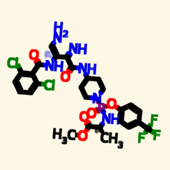 COC(=O)[C@H](C)NP(=O)(Oc1ccc(C(F)(F)F)cc1)N1CCC(NC(=O)C(=N)/C(=C\N)NC(=O)c2c(Cl)cccc2Cl)CC1